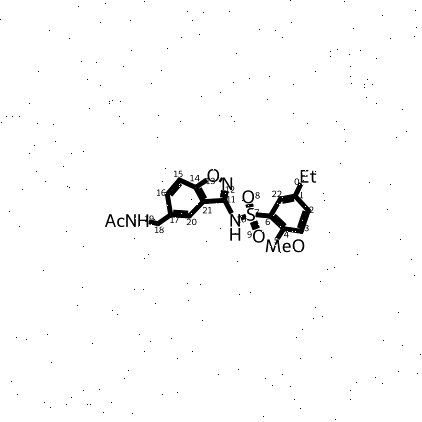 CCc1ccc(OC)c(S(=O)(=O)Nc2noc3ccc(CNC(C)=O)cc23)c1